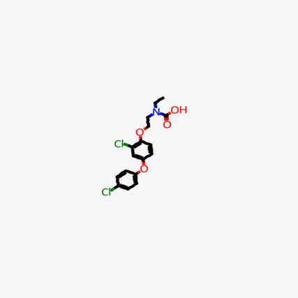 CCN(CCOc1ccc(Oc2ccc(Cl)cc2)cc1Cl)C(=O)O